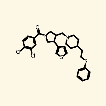 O=C(c1ccc(Cl)c(Cl)c1)N1CC(CN2CCC(CCSc3ccccc3)CC2)C(c2ccsc2)C1